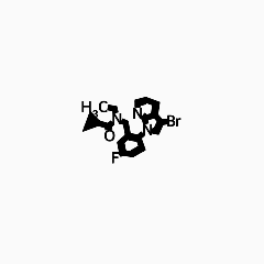 CCN(Cc1cc(F)ccc1-n1cc(Br)c2cccnc21)C(=O)C1CC1